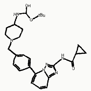 CC(C)(C)OC(O)NC1CCN(Cc2ccc(-c3cccc4nc(NC(=O)C5CC5)nn34)cc2)CC1